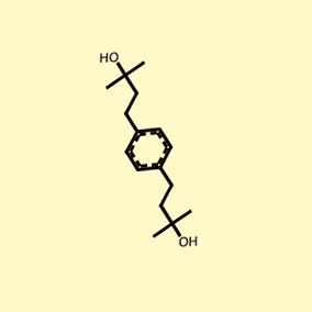 CC(C)(O)CCc1ccc(CCC(C)(C)O)cc1